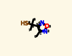 Cc1nonc1C(C)(C)S